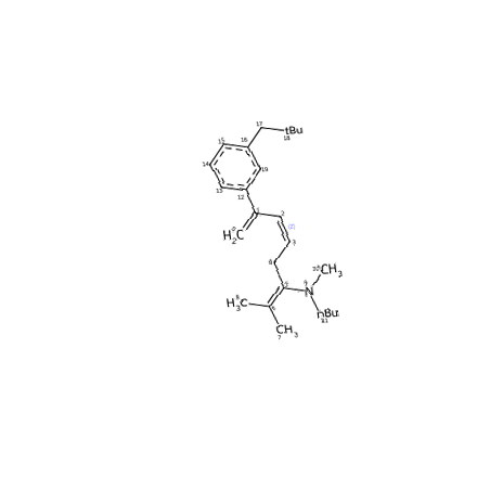 C=C(/C=C\CC(=C(C)C)N(C)CCCC)c1cccc(CC(C)(C)C)c1